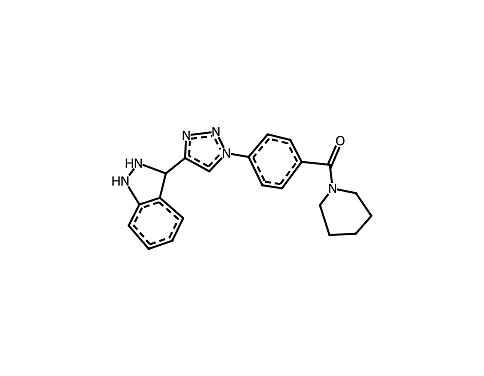 O=C(c1ccc(-n2cc(C3NNc4ccccc43)nn2)cc1)N1CCCCC1